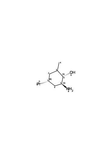 CC(C)[C@@H]1CC(C)[C@H](O)[C@@H](N)C1